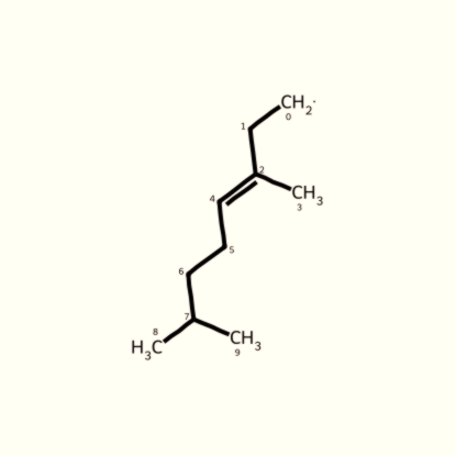 [CH2]C/C(C)=C/CCC(C)C